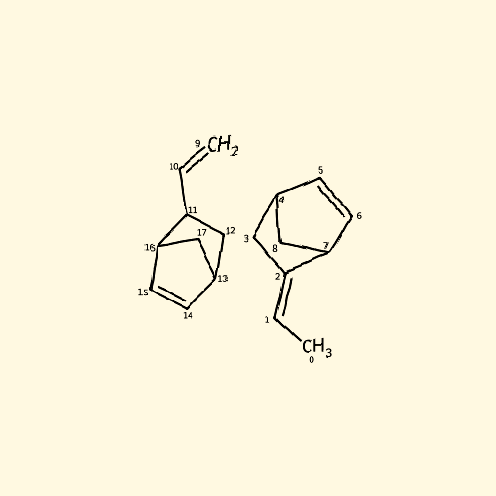 C/C=C1/CC2C=CC1C2.C=CC1CC2C=CC1C2